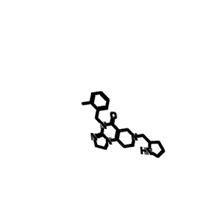 Cc1ccccc1CN1C(=O)C2=C(CCN(CC3CCCN3)C2)N2CCN=C12